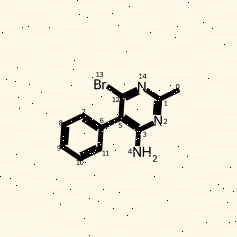 Cc1nc(N)c(-c2ccccc2)c(Br)n1